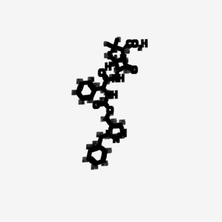 CC1(C)S[C@@H]2[C@H](NC(=O)[C@H](NC(=O)OCc3cnnn3Cc3ccccc3)c3ccccc3)C(=O)N2[C@H]1C(=O)O